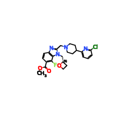 COC(=O)c1ccc2nc(CN3CCC(c4cccc(Cl)n4)CC3)n(C[C@@H]3CCO3)c2c1F